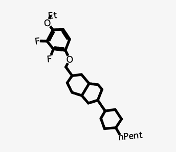 CCCCCC1CCC(C2CCC3CC(COc4ccc(OCC)c(F)c4F)CCC3C2)CC1